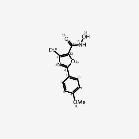 CCc1nc(-c2ccc(OC)cc2)oc1C(=O)NO